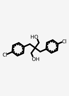 OCC(CO)(Cc1ccc(Cl)cc1)Cc1ccc(Cl)cc1